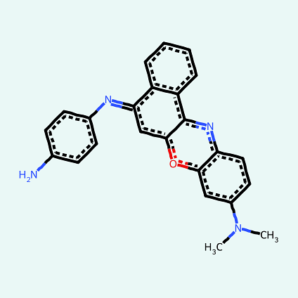 CN(C)c1ccc2nc3c4ccccc4c(=Nc4ccc(N)cc4)cc-3oc2c1